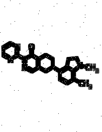 Cc1ccc(C2CCc3c(cnn(-c4ncccn4)c3=O)C2)c2c1N(C)CC2